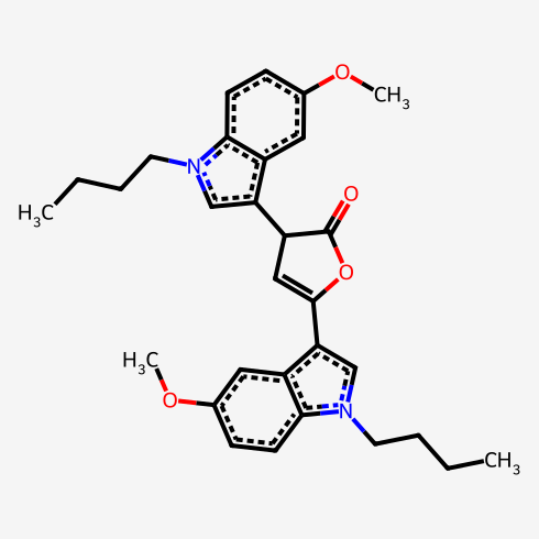 CCCCn1cc(C2=CC(c3cn(CCCC)c4ccc(OC)cc34)C(=O)O2)c2cc(OC)ccc21